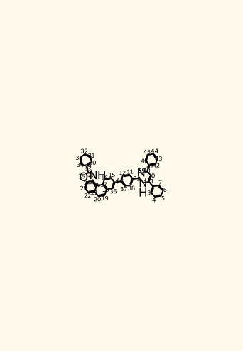 C1=C(c2ccccc2)NC(c2ccc(-c3ccc4c(ccc5ccc6c(c54)NC(c4ccccc4)O6)c3)cc2)N=C1c1ccccc1